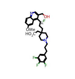 COc1ccc2ncc(CO)c([C@H](F)CCC3(CC(=O)O)CCN(CCCc4cc(F)c(F)c(F)c4)CC3)c2c1